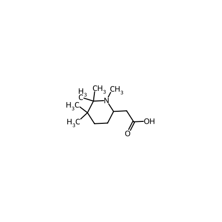 CN1C(CC(=O)O)CCC(C)(C)C1(C)C